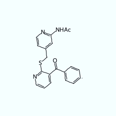 CC(=O)Nc1cc(CSc2ncccc2C(=O)c2cc[c]cc2)ccn1